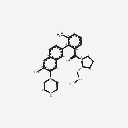 COC[C@H]1CCCN1C(=O)c1cccc(C)c1-c1ccc2nc(N)c(N3CCOCC3)cc2c1